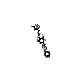 Cc1cc(CCCOc2c(C)cc(C=NOCc3ccccc3)cc2C)on1